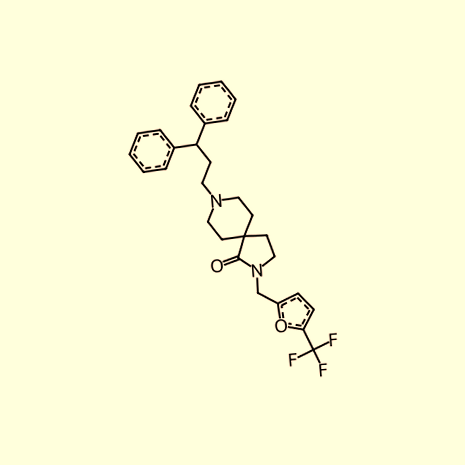 O=C1N(Cc2ccc(C(F)(F)F)o2)CCC12CCN(CCC(c1ccccc1)c1ccccc1)CC2